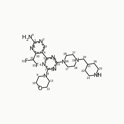 Nc1ncc(-c2nc(N3CCOCC3)nc(N3CCN(CC4CCNCC4)CC3)n2)c(C(F)F)n1